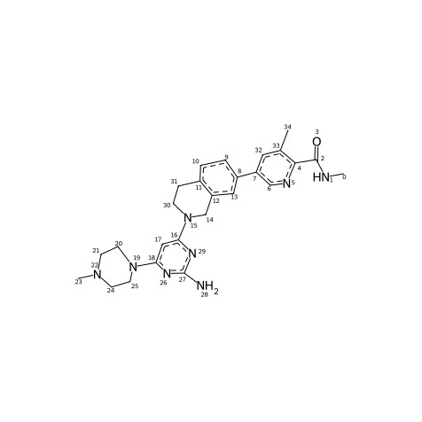 CNC(=O)c1ncc(-c2ccc3c(c2)CN(c2cc(N4CCN(C)CC4)nc(N)n2)CC3)cc1C